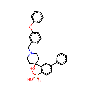 O=S(=O)(O)c1ccc(-c2ccccc2)cc1C1(O)CCN(Cc2cccc(Oc3ccccc3)c2)CC1